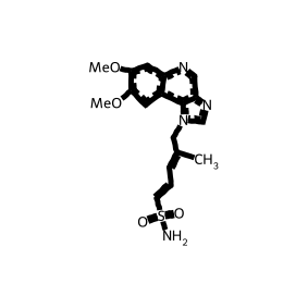 COc1cc2ncc3ncn(C/C(C)=C/C=C/S(N)(=O)=O)c3c2cc1OC